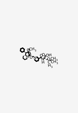 COC(=O)[C@H](c1ccccc1)[C@H]1CCCCN1C(=O)OC[n+]1cccc(C(=O)N[C@@H](COC(C)(C)C)C(=O)O)c1